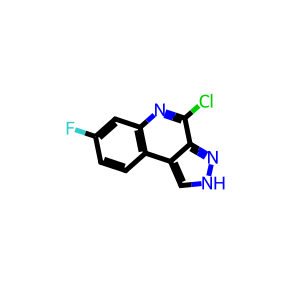 Fc1ccc2c(c1)nc(Cl)c1n[nH]cc12